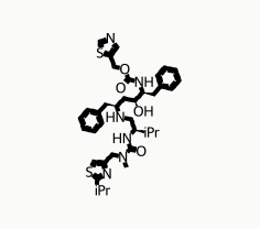 CC(C)c1nc(CN(C)C(=O)N[C@@H](CN[C@@H](Cc2ccccc2)C[C@@H](O)[C@H](Cc2ccccc2)NC(=O)OCc2cncs2)C(C)C)cs1